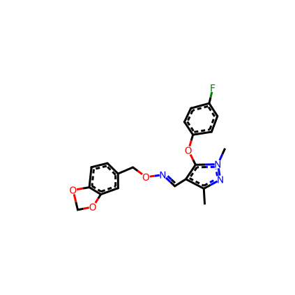 Cc1nn(C)c(Oc2ccc(F)cc2)c1C=NOCc1ccc2c(c1)OCO2